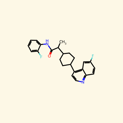 CC(C(=O)Nc1ccccc1F)C1CCC(c2ccnc3ccc(F)cc23)CC1